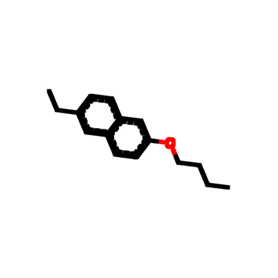 CCCCOc1ccc2cc(CC)ccc2c1